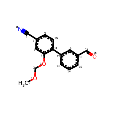 COCOc1cc(C#N)ccc1-c1cccc(C=O)c1